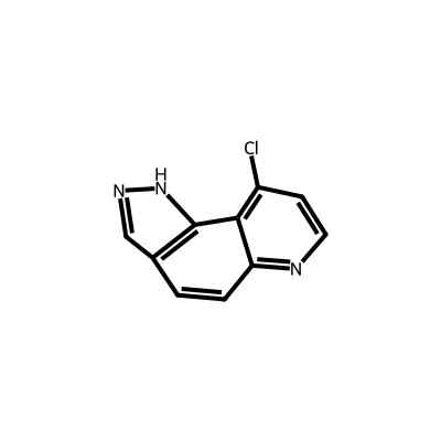 Clc1ccnc2ccc3cn[nH]c3c12